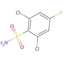 NS(=O)(=O)c1c(Cl)cc(F)cc1Cl